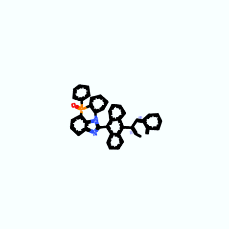 C=c1cccc/c1=C/C(=C\C)c1c2ccccc2c(-c2nc3cccc4c3n2-c2ccccc2P4(=O)c2ccccc2)c2ccccc12